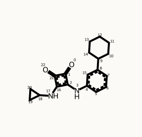 O=c1c(Nc2cccc(C3CCCCC3)c2)c(NC2CC2)c1=O